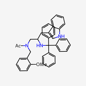 COc1ccccc1CN(CC(Cc1c[nH]c2ccccc12)NC(c1ccccc1)(c1ccccc1)c1ccccc1)C(C)=O